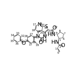 C=CC(=O)NC1CCC[C@H]1NC(=O)c1sc2nccc3c2c1NC(=O)N3c1ccc(Oc2ccccc2)cc1C